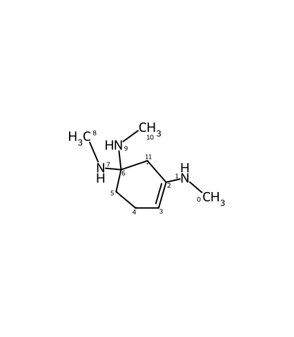 CNC1=CCCC(NC)(NC)[CH]1